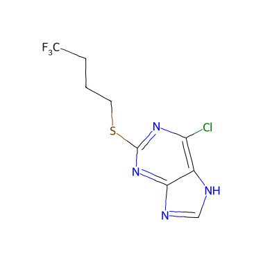 FC(F)(F)CCCSc1nc(Cl)c2[nH]cnc2n1